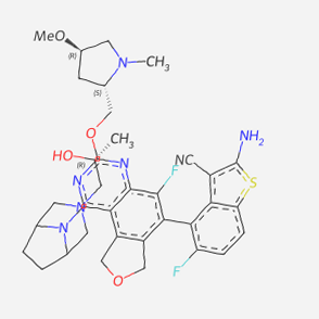 CO[C@@H]1C[C@@H](COc2nc(N3C4CCC3CN(C[C@@H](C)O)C4)c3c4c(c(-c5c(F)ccc6sc(N)c(C#N)c56)c(F)c3n2)COC4)N(C)C1